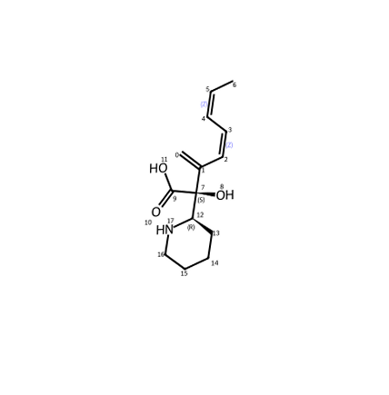 C=C(/C=C\C=C/C)[C@@](O)(C(=O)O)[C@H]1CCCCN1